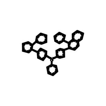 c1ccc(-c2ccccc2-c2ccc(N(c3ccccc3)c3ccc(-c4ccc5ccccc5c4-c4ccccc4)cc3)cc2)cc1